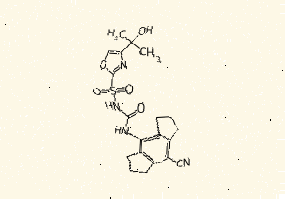 CC(C)(O)c1coc(S(=O)(=O)NC(=O)Nc2c3c(c(C#N)c4c2CCC4)CCC3)n1